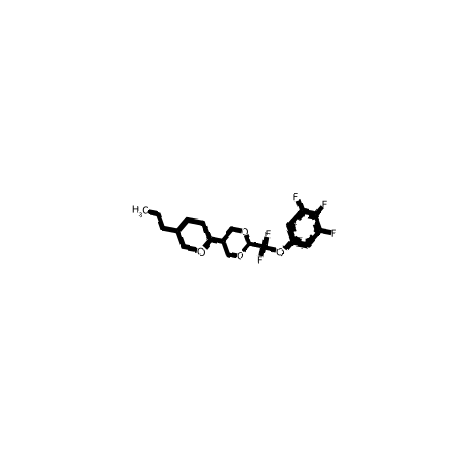 CCCC1CCC(C2COC(C(F)(F)Oc3cc(F)c(F)c(F)c3)OC2)OC1